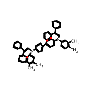 Cc1ccc(N(C=C(c2ccccc2)c2ccccc2)c2ccc(-c3ccc(N(C=C(c4ccccc4)c4ccccc4)c4ccc(C)c(C)c4)cc3)cc2)cc1C